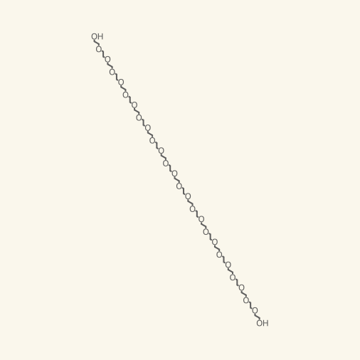 OCCOCCOCCOCCOCCOCCOCCOCCOCCOCCOCCOCCOCCOCCOCCOCCOCCOCCOCCOCCOCCOCCOCCOCCOCCO